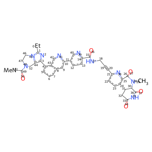 CCc1nc(-c2cccc3cc(-c4ccc(C(=O)NCC#Cc5cccc(C(=O)N(C)C6CCC(=O)NC6=O)n5)nc4)ncc23)c2n1CCN(C(=O)NC)C2